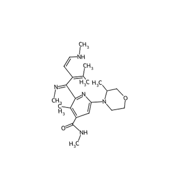 C/N=C(/C(/C=C\NC)=C(C)C)c1nc(N2CCOCC2C)cc(C(=O)NC)c1C